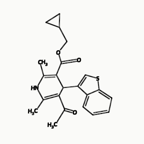 CC(=O)C1=C(C)NC(C)=C(C(=O)OCC2CC2)C1c1csc2ccccc12